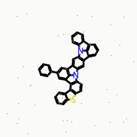 c1ccc(-c2cc3c4cc5c(cc4n4c6ccc7sc8ccccc8c7c6c(c2)c34)c2cccc3c4ccccc4n5c32)cc1